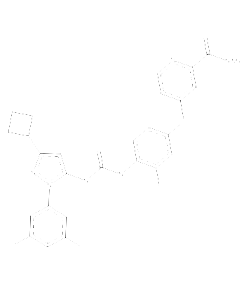 CNC(=O)c1cc(Oc2ccc(NC(=O)Nc3cc(C4CCC4)nn3-c3cc(F)cc(F)c3)c(F)c2)ccn1